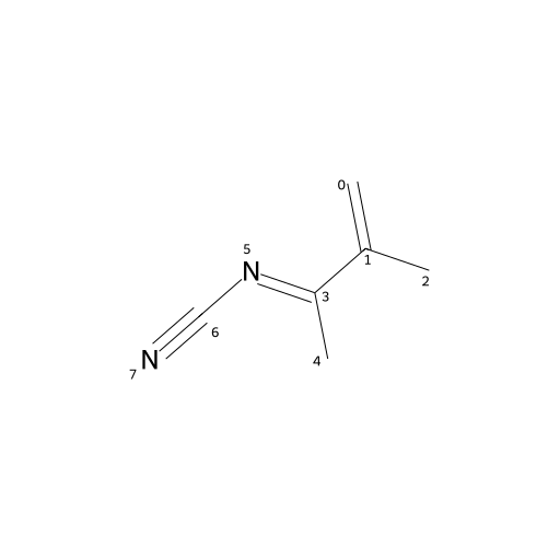 C=C(C)/C(C)=N/C#N